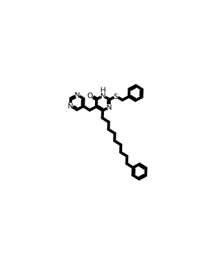 O=c1[nH]c(SCc2ccccc2)nc(CCCCCCCCCc2ccccc2)c1Cc1cncnc1